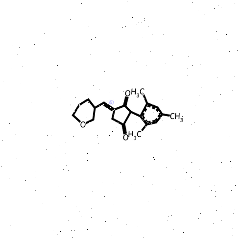 Cc1cc(C)c(C2C(=O)C/C(=C\C3CCCOC3)C2=O)c(C)c1